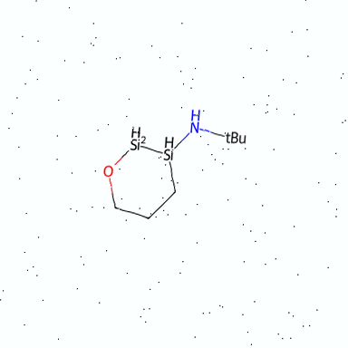 CC(C)(C)N[SiH]1CCCO[SiH2]1